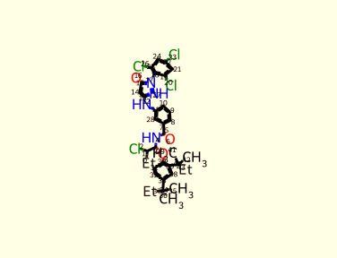 CCC(Cl)C(NC(=O)c1cccc(Nc2cc(=O)n(-c3c(Cl)cc(Cl)cc3Cl)[nH]2)c1)Oc1ccc(C(C)(C)CC)cc1C(C)(C)CC